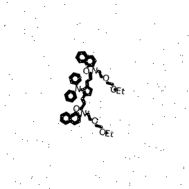 CCOCCOCCN1/C(=C/C=C2\CCC(/C=C/c3oc4c5ccccc5ccc4[n+]3CCOCCOCC)=C2N(c2ccccc2)c2ccccc2)Oc2c1ccc1ccccc21